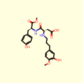 COC(=O)[C@H](Cc1ccc(O)cc1)NC(=O)[C@H](CC(=O)O)NCCCc1ccc(OC)c(O)c1